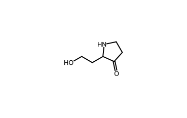 O=C1CCNC1CCO